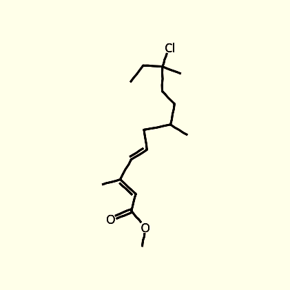 CCC(C)(Cl)CCC(C)CC=CC(C)=CC(=O)OC